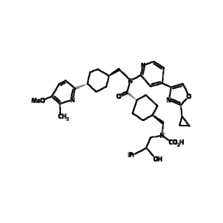 COc1ccc([C@H]2CC[C@H](CN(c3cc(-c4coc(C5CC5)n4)ccn3)C(=O)[C@H]3CC[C@H](CN(CC(O)C(C)C)C(=O)O)CC3)CC2)nc1C